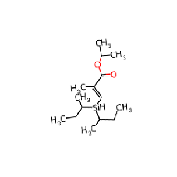 CCC(C)[SiH](C=C(C)C(=O)OC(C)C)C(C)CC